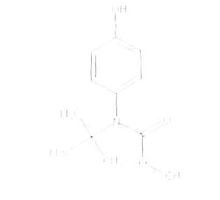 COC(=O)N(c1ccc(O)cc1)C(C)(C)C